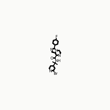 CC(C)(NC(=O)c1nccn2c(-c3ccc(F)cc3)ncc12)c1ccnc(Br)c1